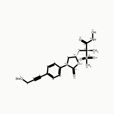 COCC#Cc1ccc(N2C[C@H](C[C@](C)(C(=O)NO)S(C)(=O)=O)OC2=O)cc1